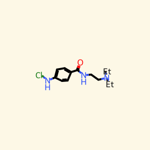 CCN(CC)CCNC(=O)c1ccc(NCl)cc1